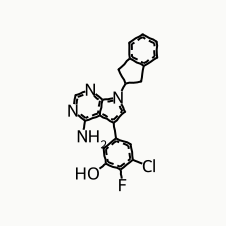 Nc1ncnc2c1c(-c1cc(O)c(F)c(Cl)c1)cn2C1Cc2ccccc2C1